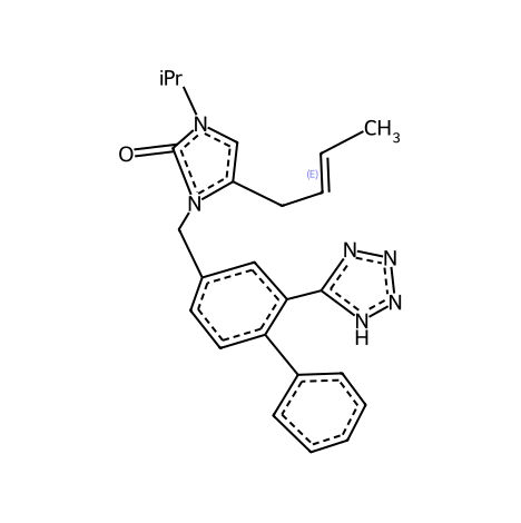 C/C=C/Cc1cn(C(C)C)c(=O)n1Cc1ccc(-c2ccccc2)c(-c2nnn[nH]2)c1